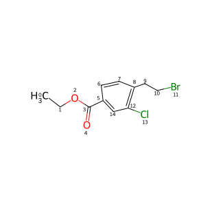 CCOC(=O)c1ccc(CCBr)c(Cl)c1